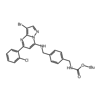 CC(C)(C)OC(=O)NCc1ccc(CNc2cc(-c3ccccc3Cl)nc3c(Br)cnn23)cc1